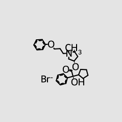 C[N+]1(CCCOc2ccccc2)CC[C@H](OC(=O)[C@](O)(c2ccccc2)C2CCCC2)C1.[Br-]